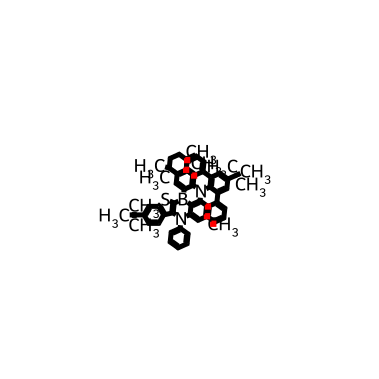 Cc1cc2c3c(c1)N(c1ccccc1)c1c(sc4cc(C(C)(C)C)ccc14)B3c1cc3c(cc1N2c1c(-c2cc#ccc2)cc(C(C)(C)C)cc1-c1ccccc1)C(C)(C)CCC3(C)C